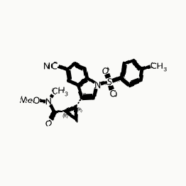 CON(C)C(=O)[C@@H]1C[C@H]1c1cn(S(=O)(=O)c2ccc(C)cc2)c2ccc(C#N)cc12